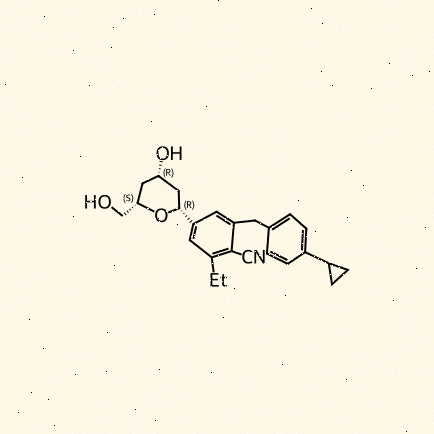 CCc1cc([C@H]2C[C@@H](O)C[C@@H](CO)O2)cc(Cc2ccc(C3CC3)cc2)c1C#N